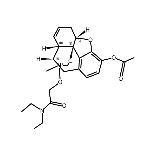 CCN(CC)C(=O)CO[N+]1(C)CC[C@]23c4c5ccc(OC(C)=O)c4O[C@H]2CC=C[C@H]3[C@H]1C5